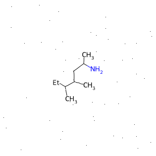 CCC(C)C(C)CC(C)N